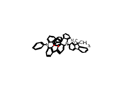 CC1(C)c2ccccc2-c2ccc(N(c3ccc4c(c3)C3(c5ccccc5)c5ccccc5N(c5ccccc5)c5cccc-4c53)c3ccccc3-c3ccccc3)cc21